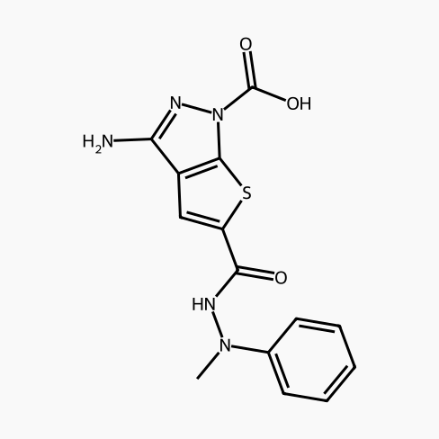 CN(NC(=O)c1cc2c(N)nn(C(=O)O)c2s1)c1ccccc1